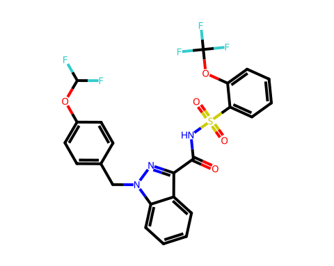 O=C(NS(=O)(=O)c1ccccc1OC(F)(F)F)c1nn(Cc2ccc(OC(F)F)cc2)c2ccccc12